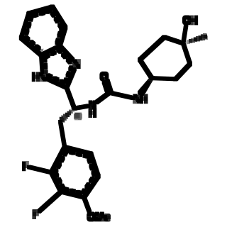 COc1ccc(C[C@@H](NC(=O)N[C@H]2CC[C@@](C)(O)CC2)c2nc3ccccc3[nH]2)c(F)c1F